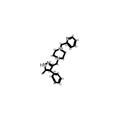 Cc1[nH]nc(CN2CCN(Cc3ccccn3)CC2)c1-c1ccccc1